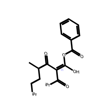 CC(C)CCC(C)C(=O)/C(C(=O)C(C)C)=C(/O)OC(=O)c1ccccc1